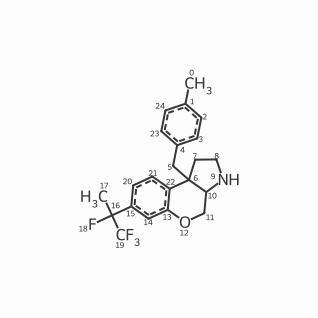 Cc1ccc(CC23CCNC2COc2cc(C(C)(F)C(F)(F)F)ccc23)cc1